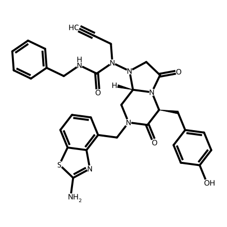 C#CCN(C(=O)NCc1ccccc1)N1CC(=O)N2[C@@H](Cc3ccc(O)cc3)C(=O)N(Cc3cccc4sc(N)nc34)C[C@@H]21